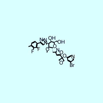 CO[C@@H]1[C@@H](n2cc(-c3ccc(C)c(F)c3F)nn2)[C@@H](O)[C@@H](CO)O[C@@H]1Cc1cc(C2(Oc3cncc(Br)c3)COC2)on1